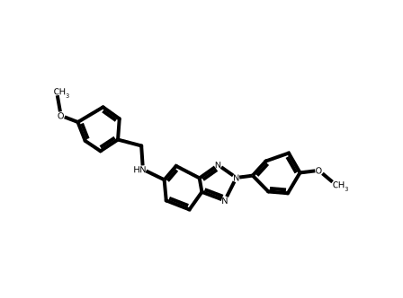 COc1ccc(CNc2ccc3nn(-c4ccc(OC)cc4)nc3c2)cc1